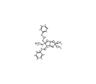 C=CC1(COCc2ccccc2)OC2OC(C)(C)OC2C1OCc1ccccc1